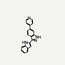 c1ccc2[nH]c(-c3n[nH]c4cc(-c5ccncc5)ccc34)cc2c1